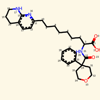 O=C(O)C(CCCCCCCc1ccc2c(n1)NCCC2)NC(=O)C1(c2ccccc2)CCOCC1